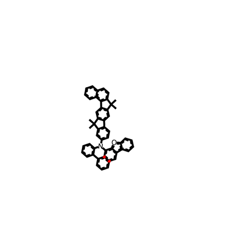 CC1(C)c2cc(N(c3ccccc3-c3ccccc3)c3cccc4c3oc3ccccc34)ccc2-c2cc3c(cc21)-c1c(ccc2ccccc12)C3(C)C